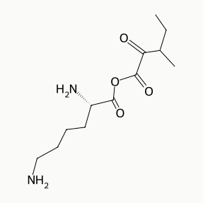 CCC(C)C(=O)C(=O)OC(=O)[C@@H](N)CCCCN